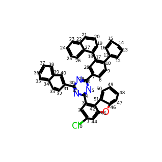 Clc1cc(-c2nc(-c3ccc(-c4ccccc4)c(-c4cccc5ccccc45)c3)nc(-c3ccc4ccccc4c3)n2)c2c(c1)oc1ccccc12